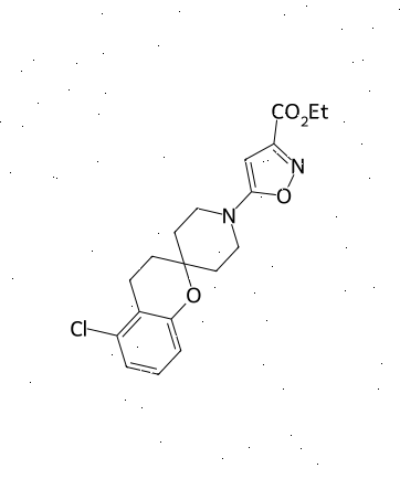 CCOC(=O)c1cc(N2CCC3(CCc4c(Cl)cccc4O3)CC2)on1